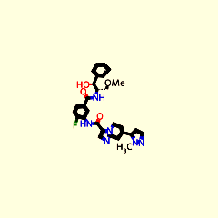 COC[C@H](NC(=O)c1ccc(F)c(NC(=O)c2cnc3cc(-c4ccnn4C)ccn23)c1)[C@@H](O)c1ccccc1